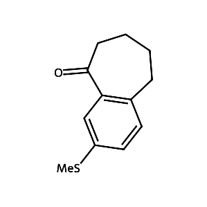 CSc1ccc2c(c1)C(=O)CCCC2